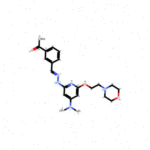 CCCN(CCC)c1cc(N/N=C/c2cccc(C(=O)OC)c2)nc(OCCN2CCOCC2)c1